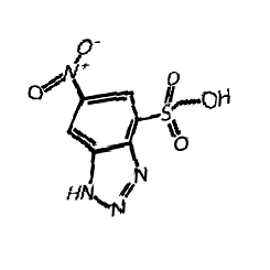 O=[N+]([O-])c1cc(S(=O)(=O)O)c2nn[nH]c2c1